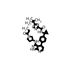 C=CC(=O)N1CCC(Nc2n[nH]c3nccc(-c4ccc(C5(NC(=O)c6noc(C(C)(C)C)n6)CC5)cc4)c23)C1